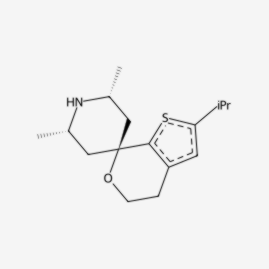 CC(C)c1cc2c(s1)[C@]1(C[C@@H](C)N[C@@H](C)C1)OCC2